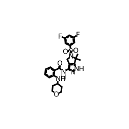 CC1(C)c2[nH]nc(NC(=O)c3ccccc3NC3CCOCC3)c2CN1S(=O)(=O)c1cc(F)cc(F)c1